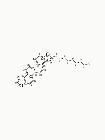 CCCCCCCCCc1cc2c(ccc3c2ccc2c4ccc5occc5c4ccc32)o1